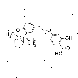 CC12CCC(C1)C1(C)Oc3ccc(CCOc4ccc(C(=O)O)c(O)c4)cc3C21C